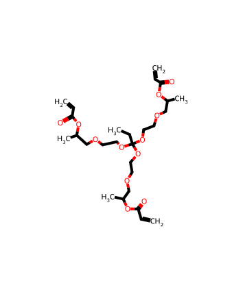 C=CC(=O)OC(C)COCCOC(CC)(OCCOCC(C)OC(=O)C=C)OCCOCC(C)OC(=O)C=C